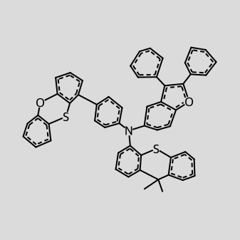 CC1(C)c2ccccc2Sc2c(N(c3ccc(-c4cccc5c4Sc4ccccc4O5)cc3)c3ccc4oc(-c5ccccc5)c(-c5ccccc5)c4c3)cccc21